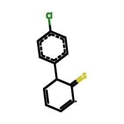 S=C1[C]=CC=CC1c1ccc(Cl)cc1